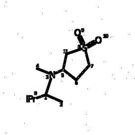 CC(C)C(C)N(C)C1CCS(=O)(=O)C1